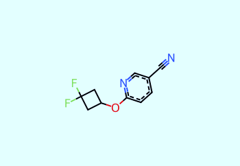 N#Cc1ccc(OC2CC(F)(F)C2)nc1